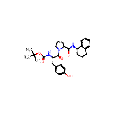 CC(C)(C)OC(=O)N[C@@H](Cc1ccc(O)cc1)C(=O)N1CCCC1C(=O)N[C@@H]1CCCc2ccccc21